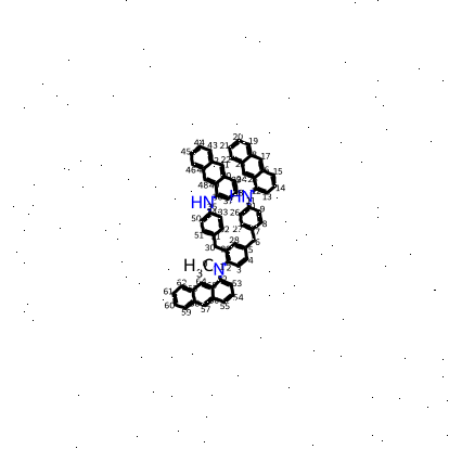 CN(c1ccc(Cc2ccc(Nc3cccc4cc5ccccc5cc34)cc2)cc1Cc1ccc(Nc2cccc3cc4ccccc4cc23)cc1)c1cccc2cc3ccccc3cc12